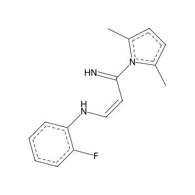 Cc1ccc(C)n1C(=N)/C=C\Nc1ccccc1F